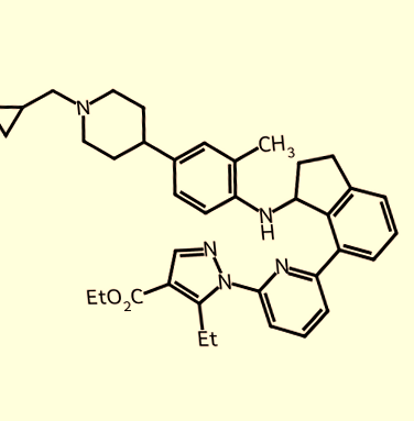 CCOC(=O)c1cnn(-c2cccc(-c3cccc4c3C(Nc3ccc(C5CCN(CC6CC6)CC5)cc3C)CC4)n2)c1CC